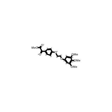 COC(=O)C(=O)c1ccc(OCCOc2cc(OC)c(OC)c(OC)c2)cc1